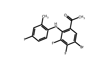 CC(=O)c1cc(Br)c(F)c(F)c1Nc1ccc(I)cc1C